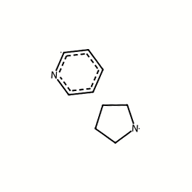 C1CC[N]C1.[c]1ccccn1